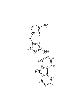 CC(=O)c1ccc(Cn2cc(NC(=O)/C=C\c3c[nH]c4ccccc34)cn2)o1